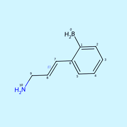 Bc1ccccc1/C=C/CN